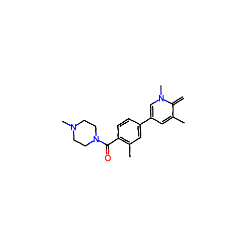 C=C1C(C)=CC(c2ccc(C(=O)N3CCN(C)CC3)c(C)c2)=CN1C